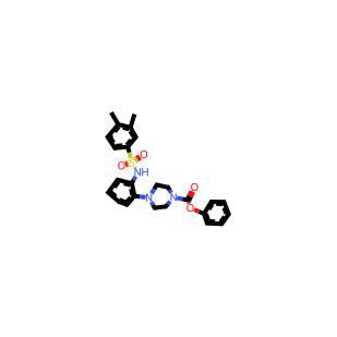 Cc1ccc(S(=O)(=O)Nc2ccccc2N2CCN(C(=O)Oc3ccccc3)CC2)cc1C